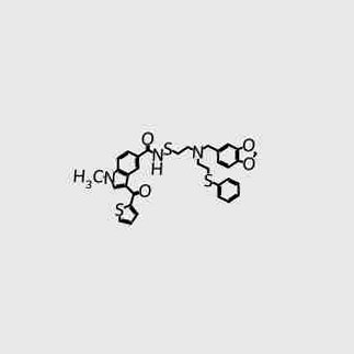 Cn1cc(C(=O)c2cccs2)c2cc(C(=O)NSCCN(CCSc3ccccc3)Cc3ccc4c(c3)OCO4)ccc21